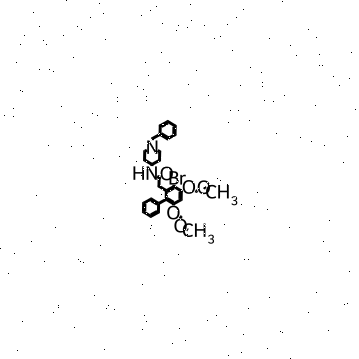 COCOc1cc(OCOC)c(-c2ccccc2)c(CC(=O)NC2CCN(Cc3ccccc3)CC2)c1Br